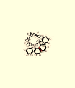 C[Si]1(C)O[Si](C)(C)O[Si](c2ccccc2)(c2ccccc2)O[Si](c2ccccc2)(c2ccccc2)O[Si](C)(C)O1